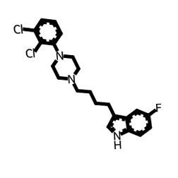 Fc1ccc2[nH]cc(CCCCN3CCN(c4cccc(Cl)c4Cl)CC3)c2c1